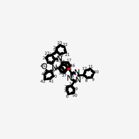 c1ccc(-c2nc(-c3ccccc3)nc(-c3ccc(-n4c5ccccc5c5ccc6c(c54)N(c4ccccc4)c4ccccc4O6)cc3)n2)cc1